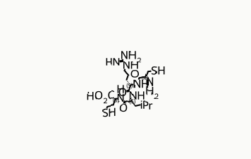 CC(C)C[C@H](NC(=O)[C@H](CCCNC(=N)N)NC(=O)[C@@H](N)CS)C(=O)N[C@@H](CCS)C(=O)O